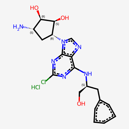 Cl.N[C@H]1C[C@@H](n2cnc3c(N[C@H](CO)Cc4ccccc4)nc(Cl)nc32)[C@H](O)[C@@H]1O